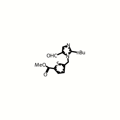 CCCCc1ncc(C=O)n1Cc1ccc(C(=O)OC)s1